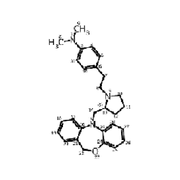 CN(C)c1ccc(CCN2CCC[C@H]2CN2c3ccccc3COc3ccccc32)cc1